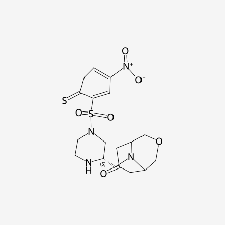 O=C1CC2COCC(C1)N2C[C@H]1CN(S(=O)(=O)C2=CC([N+](=O)[O-])=CCC2=S)CCN1